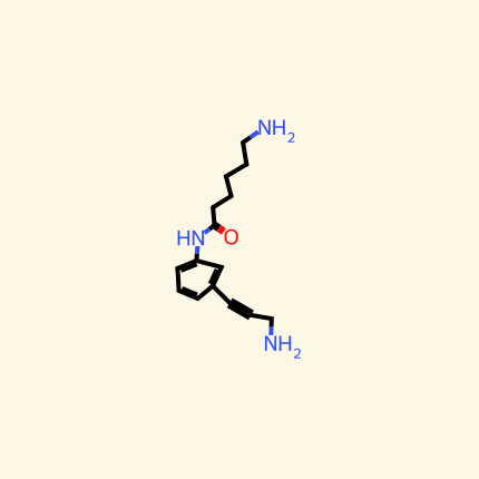 NCC#Cc1cccc(NC(=O)CCCCCN)c1